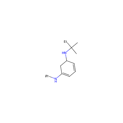 CCC(C)(C)NC1C=CC=C(NC(C)C)C1